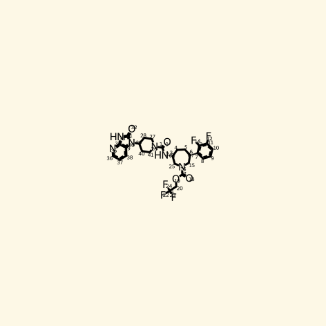 O=C(N[C@@H]1CC[C@@H](c2cccc(F)c2F)CN(C(=O)OCC(F)(F)F)C1)N1CCC(n2c(=O)[nH]c3ncccc32)CC1